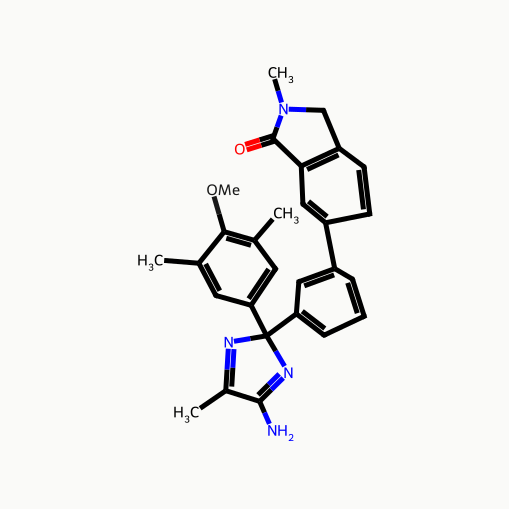 COc1c(C)cc(C2(c3cccc(-c4ccc5c(c4)C(=O)N(C)C5)c3)N=C(C)C(N)=N2)cc1C